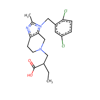 CCC(CN1CCc2nc(C)n(Cc3cc(Cl)ccc3Cl)c2C1)C(=O)O